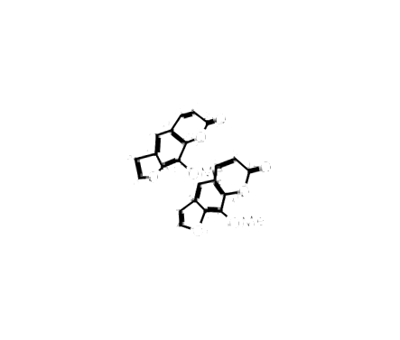 COc1c2occc2cc2ccc(=O)oc12.COc1c2occc2cc2ccc(=O)oc12